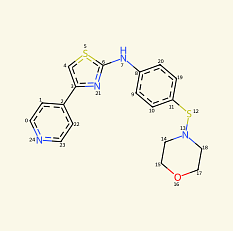 c1cc(-c2csc(Nc3ccc(SN4CCOCC4)cc3)n2)ccn1